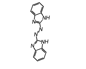 c1ccc2[nH]c(/N=N/c3nc4ccccc4[nH]3)nc2c1